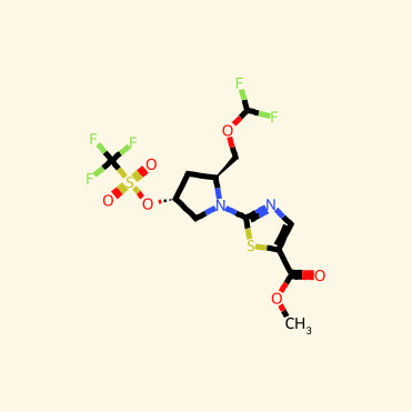 COC(=O)c1cnc(N2C[C@H](OS(=O)(=O)C(F)(F)F)C[C@H]2COC(F)F)s1